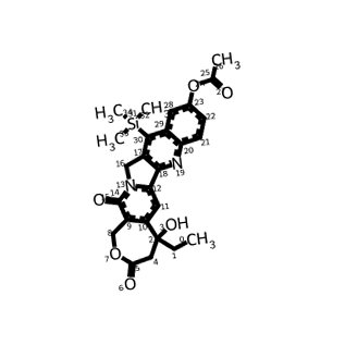 CCC1(O)CC(=O)OCc2c1cc1n(c2=O)Cc2c-1nc1ccc(OC(C)=O)cc1c2[Si](C)(C)C